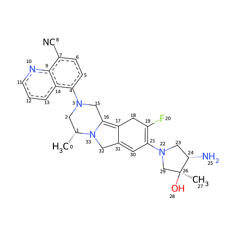 C[C@@H]1CN(c2ccc(C#N)c3ncccc23)CC2=C3CC(F)=C(N4C[C@H](N)[C@@](C)(O)C4)C=C3CN21